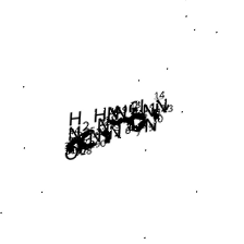 Cc1nc2c(-c3ccc4ncc(N(C)C)nc4c3Cl)n[nH]c2nc1N1CCC2(CC1)COC[C@H]2N